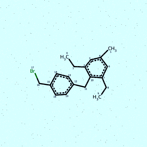 CCc1cc(C)cc(CC)c1Cc1ccc(CBr)cc1